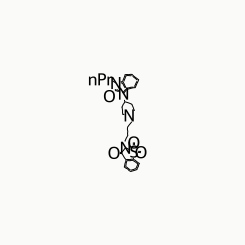 CCCn1c(=O)n(C2CCN(CCCCN3C(=O)c4ccccc4S3(=O)=O)CC2)c2ccccc21